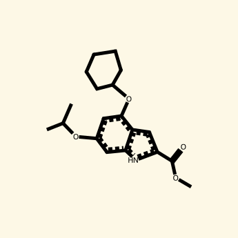 COC(=O)c1cc2c(OC3CCCCC3)cc(OC(C)C)cc2[nH]1